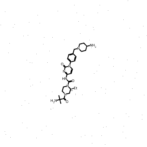 CC[C@H]1CN(C(=O)C(C)(C)N)CCN1C(=O)Nc1ccn(-c2ccc(CN3CCC(N)CC3)cc2)c(=O)n1